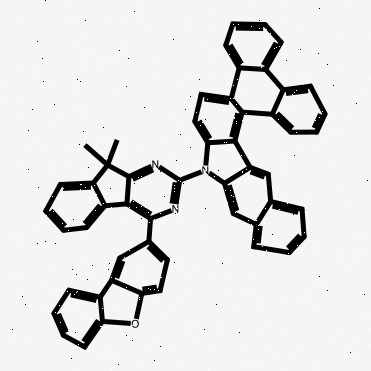 CC1(C)c2ccccc2-c2c(-c3ccc4oc5ccccc5c4c3)nc(-n3c4cc5ccccc5cc4c4c5c6ccccc6c6ccccc6c5ccc43)nc21